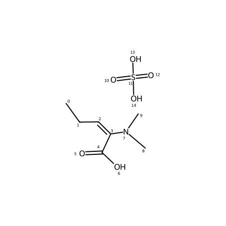 CC/C=C(\C(=O)O)N(C)C.O=S(=O)(O)O